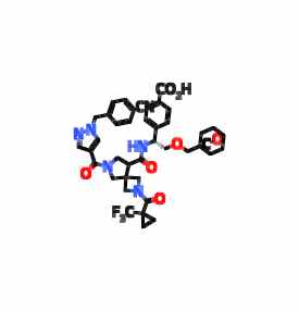 N#Cc1ccc(Cn2cc(C(=O)N3CC(C(=O)N[C@@H](COCC45CCC(CC4)OC5)c4ccc(C(=O)O)cc4)C4(C3)CN(C(=O)C3(C(F)(F)F)CC3)C4)cn2)cc1